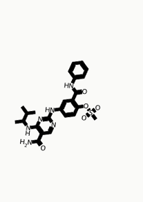 CC(C)C(C)Nc1nc(Nc2ccc(OS(C)(=O)=O)c(C(=O)Nc3ccccc3)c2)ncc1C(N)=O